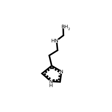 BCNCCc1c[nH]cn1